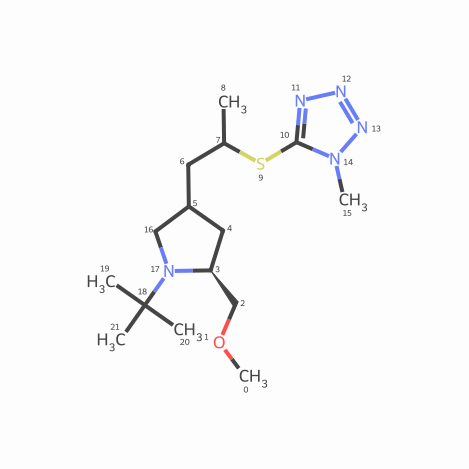 COC[C@@H]1CC(CC(C)Sc2nnnn2C)CN1C(C)(C)C